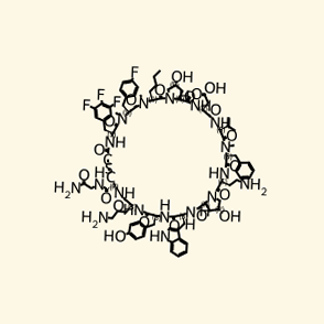 CCCC[C@H]1C(=O)N2C[C@H](O)C[C@@H]2C(=O)N[C@@H](CC(=O)O)C(=O)N[C@@H](C(C)C)C(=O)N(C)[C@@H](Cc2ccccc2)C(=O)N[C@@H](CCN)C(=O)N2C[C@H](O)C[C@@H]2C(=O)N[C@@H](Cc2c[nH]c3ccccc23)C(=O)N[C@@H](Cc2ccc(O)cc2)C(=O)N[C@@H](CCCN)C(=O)N[C@H](C(=O)NCC(N)=O)CSCC(=O)N[C@@H](Cc2cc(F)c(F)c(F)c2)C(=O)N(C)[C@@H](Cc2ccc(F)cc2)C(=O)N1C